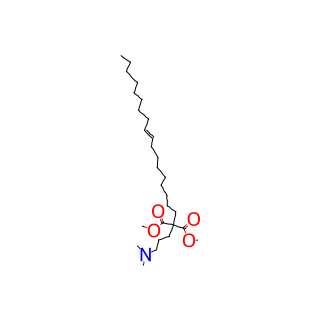 CCCCCCCCC=CCCCCCCCCC(CCCN(C)C)(C(=O)OC)C(=O)OC